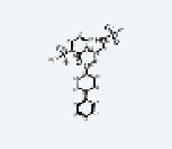 CS(=O)(=O)NCC(COC1CCC(c2ccccc2)CC1)n1cccc(C(F)(F)F)c1=O